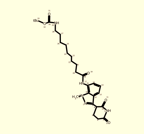 Cn1nc(C2CCC(=O)NC2=O)c2cccc(NC(=O)CCCCCCCCCNC(=O)OC(C)(C)C)c21